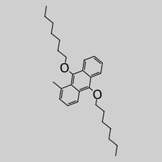 CCCCCCCOc1c2ccccc2c(OCCCCCCC)c2c(C)cccc12